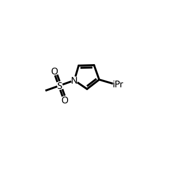 CC(C)c1ccn(S(C)(=O)=O)c1